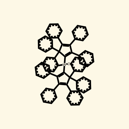 [Cl][W]([Cl])([C]1=C(c2ccccc2)C(c2ccccc2)=C(c2ccccc2)C1(c1ccccc1)c1ccccc1)[C]1=C(c2ccccc2)C(c2ccccc2)=C(c2ccccc2)C1(c1ccccc1)c1ccccc1